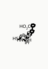 CCCCC(=O)N(CC(=O)N[C@@H](CNC(=O)CS)C(C)C)Cc1ccc(-c2ccccc2C(=O)O)cc1